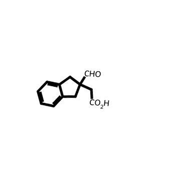 O=CC1(CC(=O)O)Cc2ccccc2C1